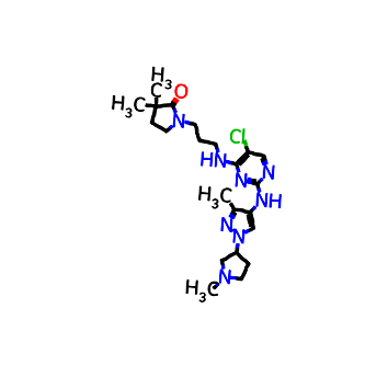 Cc1nn(C2CCN(C)C2)cc1Nc1ncc(Cl)c(NCCCN2CCC(C)(C)C2=O)n1